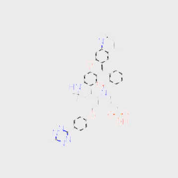 Cc1nnc(-c2ccc(OCCCN(CCCS(=O)(=O)O)C(=O)c3ccccc3C3=c4cc5c(cc4Oc4cc6c(cc43)C(C)CC(C)(C)N6)=NC(C)(C)CC5C)cc2)nn1